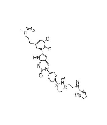 C[C@H](N)CCCc1cc(Cl)c(F)c(-c2cc3cn(-c4ccc([C@@H]5CCC[C@@H](CCNC6=NCCN6)N5)cc4)c(=O)nc3[nH]2)c1